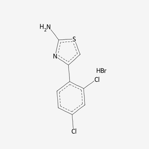 Br.Nc1nc(-c2ccc(Cl)cc2Cl)cs1